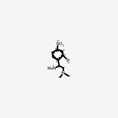 CNC(CN(C)C)c1ccc([N+](=O)[O-])cc1Br